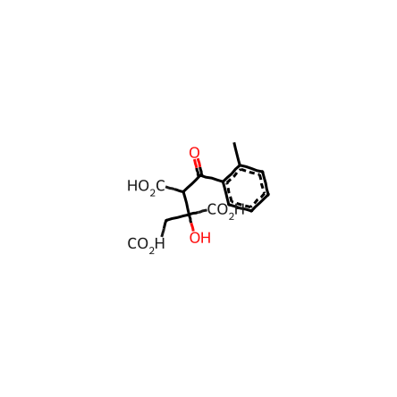 Cc1ccccc1C(=O)C(C(=O)O)C(O)(CC(=O)O)C(=O)O